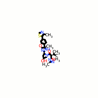 Cc1noc([C@@H](C(=O)N2C[C@H](O)C[C@H]2C2=NC(=O)[C@](C)(c3ccc(-c4scnc4C)cc3)N2)C(C)C)n1